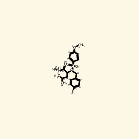 COc1ccc(S(=O)(=O)N(Cc2ccc(F)cc2)C(CC(C)C)C(=O)NO)cc1